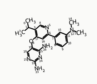 CC(C)c1cnc(-c2[c]ccc(N(C)C)c2)cc1Oc1cnc(N)nc1N